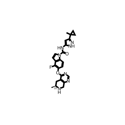 C[C@H]1Cc2c(ncnc2Oc2ccc3c(ccn3C(=O)Nc3cc(C4(C)CC4)n[nH]3)c2F)CN1